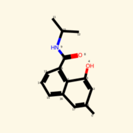 Cc1cc(O)c2c(C(=O)NC(C)C)cccc2c1